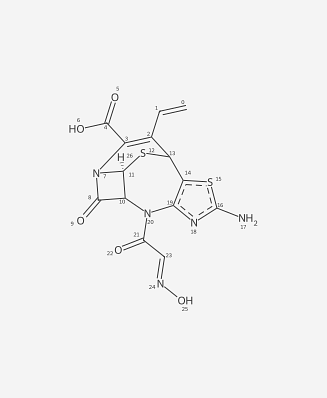 C=CC1=C(C(=O)O)N2C(=O)C3[C@@H]2SC1c1sc(N)nc1N3C(=O)C=NO